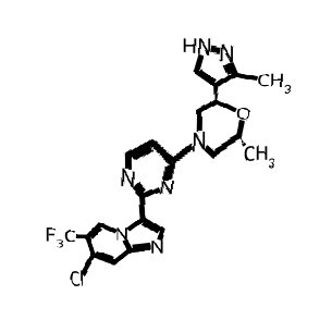 Cc1n[nH]cc1[C@@H]1CN(c2ccnc(-c3cnc4cc(Cl)c(C(F)(F)F)cn34)n2)C[C@@H](C)O1